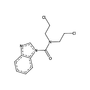 O=C(N(CCCl)CCCl)n1cnc2ccccc21